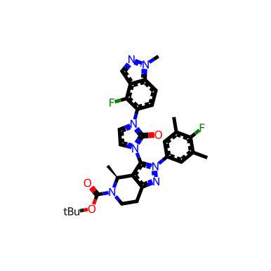 Cc1cc(-n2nc3c(c2-n2ccn(-c4ccc5c(cnn5C)c4F)c2=O)[C@H](C)N(C(=O)OC(C)(C)C)CC3)cc(C)c1F